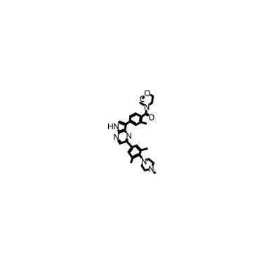 Cc1cc(-c2c[nH]c3ncc(-c4cc(C)c(N5CCN(C)CC5)c(C)c4)nc23)ccc1C(=O)N1CCOCC1